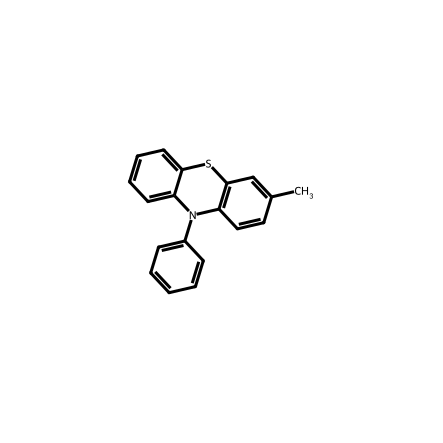 Cc1ccc2c(c1)Sc1ccccc1N2c1ccccc1